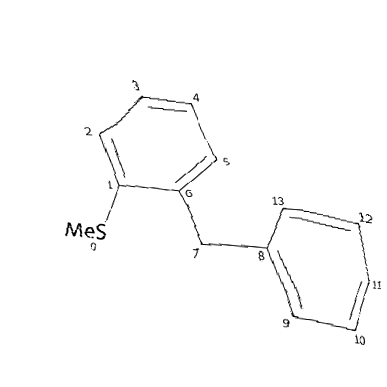 CSc1ccccc1Cc1ccccc1